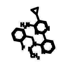 C=NN(Cc1ccccc1F)c1ncccc1-c1ncc(C2CC2)c(N)n1